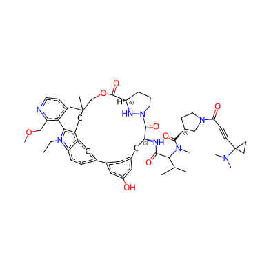 CCn1c(-c2cccnc2COC)c2c3cc(ccc31)-c1cc(O)cc(c1)C[C@H](NC(=O)C(C(C)C)N(C)C(=O)[C@H]1CCN(C(=O)C#CC3(N(C)C)CC3)C1)C(=O)N1CCC[C@H](N1)C(=O)OCC(C)(C)C2